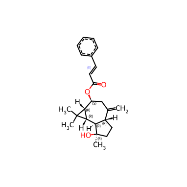 C=C1C[C@H](OC(=O)/C=C/c2ccccc2)[C@@H]2[C@H]([C@H]3[C@H]1CC[C@@]3(C)O)C2(C)C